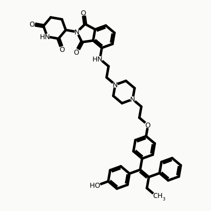 CC/C(=C(\c1ccc(O)cc1)c1ccc(OCCN2CCN(CCNc3cccc4c3C(=O)N(C3CCC(=O)NC3=O)C4=O)CC2)cc1)c1ccccc1